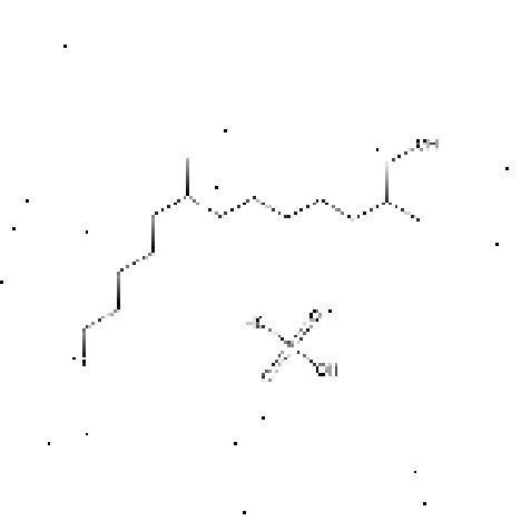 CCCCCCC(C)CCCCCC(C)CO.O=S(=O)(O)O